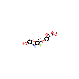 COC(=O)CC1COc2cc(O[C@@H]3CCc4c(Oc5ccc(O)cc5C#N)ccc(F)c43)ccc21